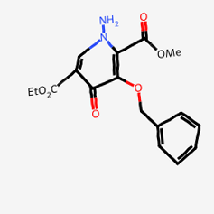 CCOC(=O)c1cn(N)c(C(=O)OC)c(OCc2ccccc2)c1=O